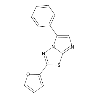 c1ccc(-c2cnc3sc(-c4ccco4)nn23)cc1